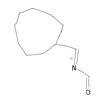 O=C/N=C/C1CCCCCCCC1